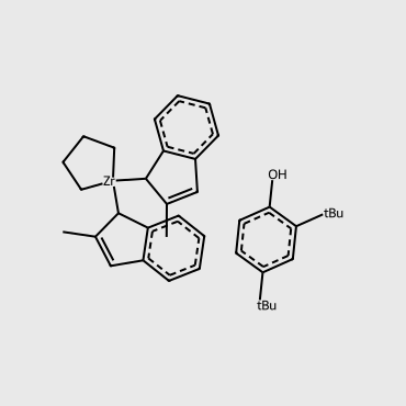 CC(C)(C)c1ccc(O)c(C(C)(C)C)c1.CC1=Cc2ccccc2[CH]1[Zr]1([CH]2C(C)=Cc3ccccc32)[CH2]CC[CH2]1